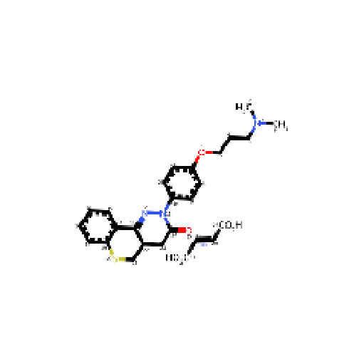 CN(C)CCCOc1ccc(N2N=C3c4ccccc4SCC3CC2=O)cc1.O=C(O)/C=C/C(=O)O